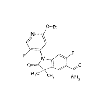 CCOc1cc(N2C(=O)C(C)(C)c3cc(C(N)=O)c(F)cc32)c(F)cn1